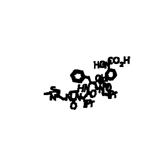 Cc1nc(CN2CCN([C@H](C(=O)N[C@@H](Cc3ccccc3)[C@H](O)CN(CC(C)C)S(=O)(=O)c3cccc(N(O)C(=O)O)c3)C(C)C)C2=O)cs1